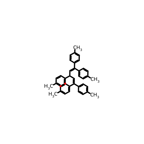 Cc1ccc(C(=CC(C=C(c2ccc(C)cc2)c2ccc(C)cc2)c2ccc(C)cc2)c2ccc(C)cc2)cc1